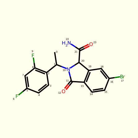 CC(c1ccc(F)cc1F)N1C(=O)c2[c]cc(Br)cc2C1C(N)=O